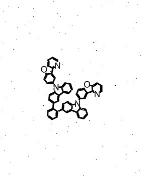 c1ccc(-c2ccc3c(c2)c2ccccc2n3-c2ccc3oc4cccnc4c3c2)c(-c2ccc3c(c2)c2ccccc2n3-c2ccc3oc4cccnc4c3c2)c1